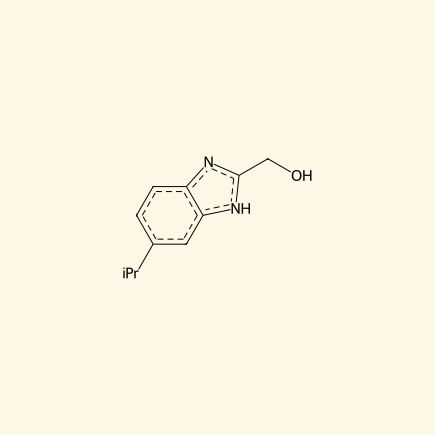 CC(C)c1ccc2nc(CO)[nH]c2c1